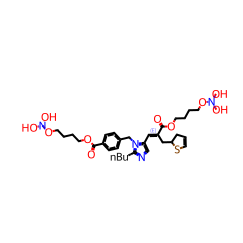 CCCCc1ncc(/C=C(\CC2CC=CS2)C(=O)OCCCCON(O)O)n1Cc1ccc(C(=O)OCCCCON(O)O)cc1